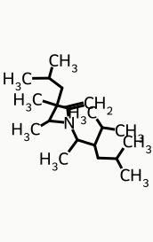 C=C1N(C(C)C(CC(C)C)C(C)C)C(C)C1(C)CC(C)C